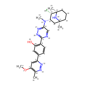 COc1cc(-c2ccc(-c3ncc(N(C)[C@H]4C[C@]5(C)CCC[C@@](C)(N5)[C@H]4F)nn3)c(O)c2)nnc1C